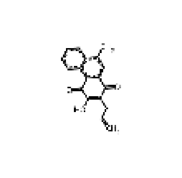 C=CCC1=C(O)C(=O)c2c(cc(C)c3ccccc23)C1=O